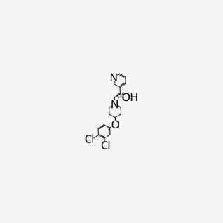 O[C@H](CN1CCC(Oc2ccc(Cl)c(Cl)c2)CC1)c1cccnc1